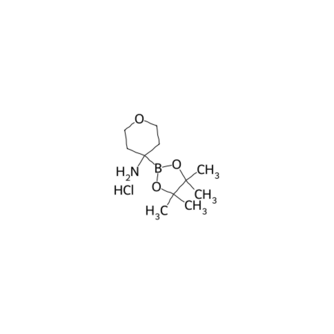 CC1(C)OB(C2(N)CCOCC2)OC1(C)C.Cl